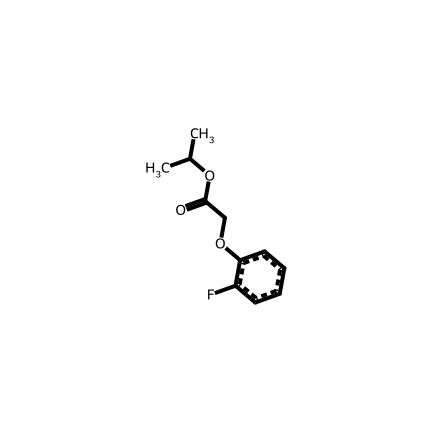 CC(C)OC(=O)COc1ccccc1F